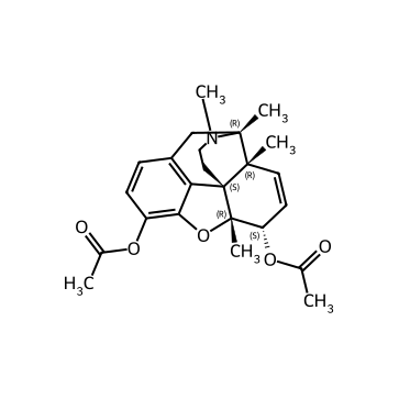 CC(=O)Oc1ccc2c3c1O[C@@]1(C)[C@@H](OC(C)=O)C=C[C@]4(C)[C@@]31CCN(C)[C@]4(C)C2